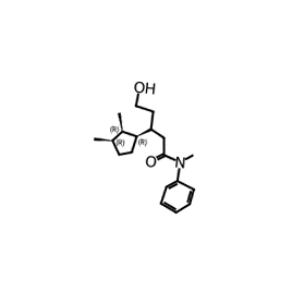 C[C@@H]1[C@H](C)CC[C@@H]1C(CCO)CC(=O)N(C)c1ccccc1